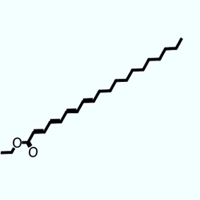 CCCCCCCCCCCC=CC=CC=CC=CC(=O)OCC